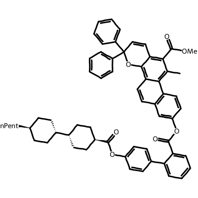 CCCCC[C@H]1CC[C@H]([C@H]2CC[C@H](C(=O)Oc3ccc(-c4ccccc4C(=O)Oc4ccc5c(ccc6c7c(c(C(=O)OC)c(C)c65)C=CC(c5ccccc5)(c5ccccc5)O7)c4)cc3)CC2)CC1